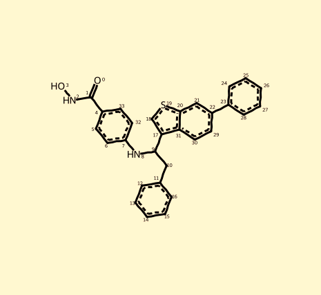 O=C(NO)c1ccc(NC(Cc2ccccc2)c2csc3cc(-c4ccccc4)ccc23)cc1